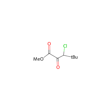 COC(=O)C(=O)C(Cl)C(C)(C)C